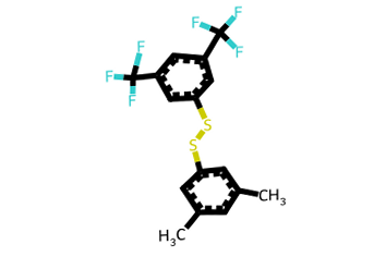 Cc1cc(C)cc(SSc2cc(C(F)(F)F)cc(C(F)(F)F)c2)c1